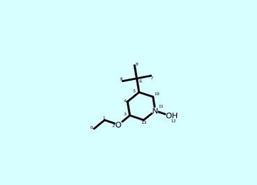 CCOC1CC(C(C)(C)C)CN(O)C1